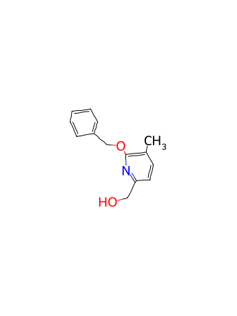 Cc1ccc(CO)nc1OCc1ccccc1